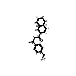 CC(C)Cc1ccc(C(C)CC(=O)c2ccc3ccccc3c2)cc1